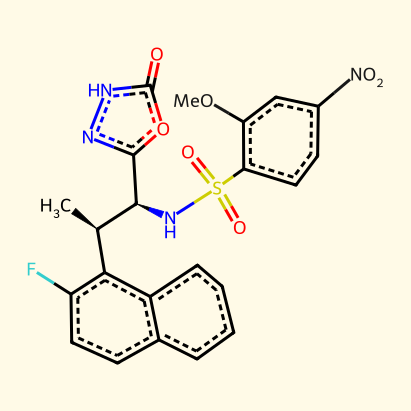 COc1cc([N+](=O)[O-])ccc1S(=O)(=O)N[C@H](c1n[nH]c(=O)o1)[C@H](C)c1c(F)ccc2ccccc12